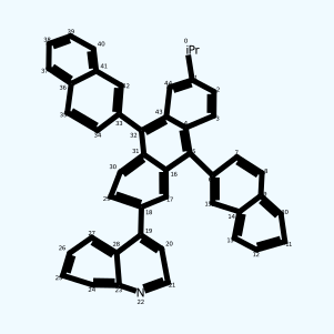 CC(C)c1ccc2c(-c3ccc4ccccc4c3)c3cc(-c4ccnc5ccccc45)ccc3c(-c3ccc4ccccc4c3)c2c1